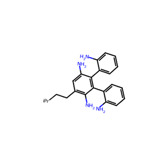 CC(C)CCc1cc(N)c(-c2ccccc2N)c(-c2ccccc2N)c1N